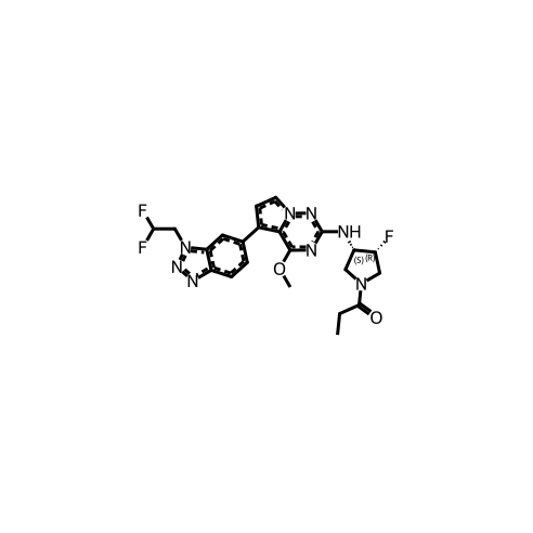 CCC(=O)N1C[C@@H](F)[C@@H](Nc2nc(OC)c3c(-c4ccc5nnn(CC(F)F)c5c4)ccn3n2)C1